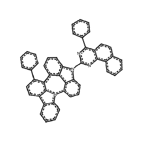 c1ccc(-c2nc(-n3c4cccc5c6c(-c7ccccc7)ccc7c8ccccc8n(c8cccc3c8c54)c76)nc3c2ccc2ccccc23)cc1